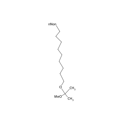 CCCCCCCCCCCCCCCCCCOC(C)(C)OC